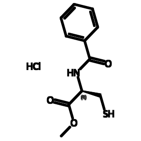 COC(=O)[C@H](CS)NC(=O)c1ccccc1.Cl